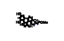 COCC/N=C/Cc1c(C)cccc1-c1c(S)n[nH]c1-c1ccc(O)cc1O